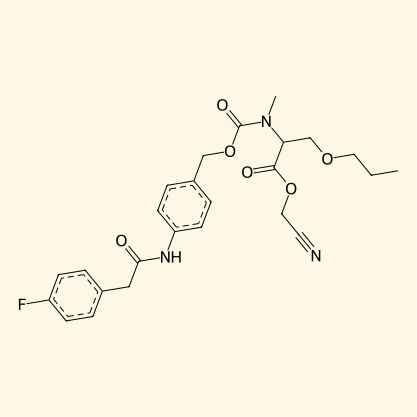 CCCOCC(C(=O)OCC#N)N(C)C(=O)OCc1ccc(NC(=O)Cc2ccc(F)cc2)cc1